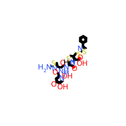 Nc1nc(C(NC(=O)c2cc(=O)c(O)cn2O)C(=O)N[C@@H]2C(=O)N3C(C(=O)O)=C(CSc4nc(-c5ccccc5)cs4)CS[C@H]23)cs1